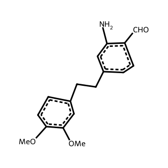 COc1ccc(CCc2ccc(C=O)c(N)c2)cc1OC